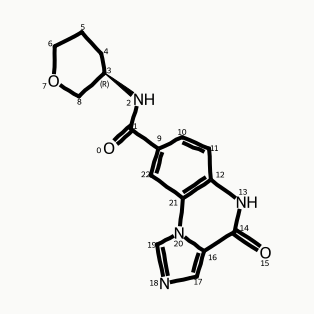 O=C(N[C@@H]1CCCOC1)c1ccc2[nH]c(=O)c3cncn3c2c1